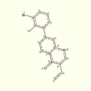 Cc1c(Br)cccc1-c1ccn2c(=O)c(C=O)cnc2c1